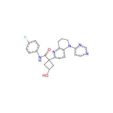 O=C(Nc1ccc(F)cc1)C1(c2ccc3c(n2)CCCN3c2ccncn2)CC(O)C1